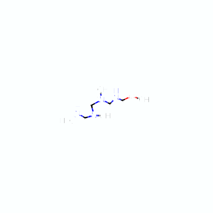 CNCN(C)CN(C)CNCOC